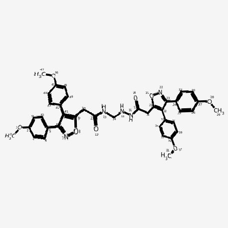 COc1ccc(-c2noc(CC(=O)NCNNC(=O)Cc3onc(-c4ccc(OC)cc4)c3-c3ccc(OC)cc3)c2-c2ccc(OC)cc2)cc1